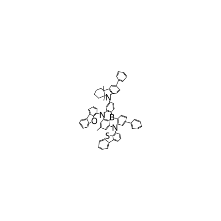 Cc1cc2c3c(c1)N(c1cccc4c1sc1ccccc14)c1cc(-c4ccccc4)ccc1B3c1ccc(N3c4ccc(-c5ccccc5)cc4C4(C)CCCCC34C)cc1N2c1cccc2c1oc1ccccc12